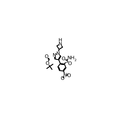 CC(C)(C)OC=O.NS(=O)(=O)c1cc([N+](=O)[O-])ccc1-c1cnn(C2CNC2)c1